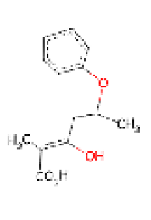 CC(C(=O)O)=C(O)CC(C)Oc1ccccc1